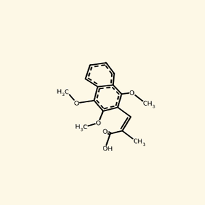 COc1c(/C=C(/C)C(=O)O)c(OC)c2ccccc2c1OC